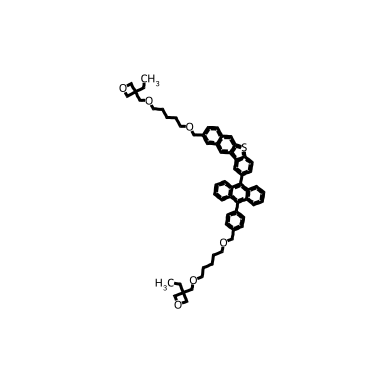 CCC1(COCCCCCOCc2ccc(-c3c4ccccc4c(-c4ccc5sc6cc7ccc(COCCCCCOCC8(CC)COC8)cc7cc6c5c4)c4ccccc34)cc2)COC1